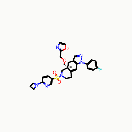 O=S(=O)(c1ccc(N2CCC2)nc1)N1CCC2=Cc3c(cnn3-c3ccc(F)cc3)C[C@]2(COCc2ncco2)C1